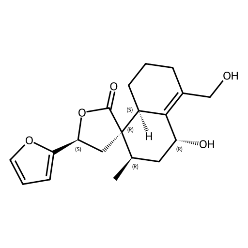 C[C@@H]1C[C@@H](O)C2=C(CO)CCC[C@@H]2[C@@]12C[C@@H](c1ccco1)OC2=O